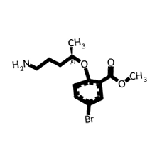 COC(=O)c1cc(Br)ccc1O[C@H](C)CCCN